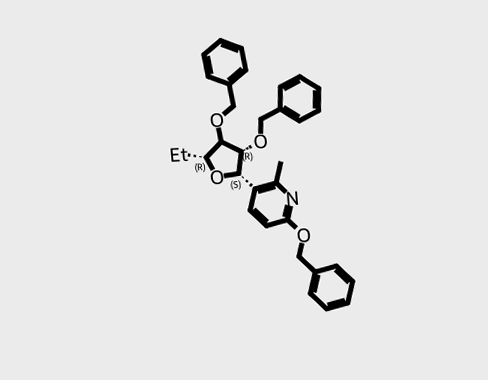 CC[C@H]1O[C@@H](c2ccc(OCc3ccccc3)nc2C)[C@@H](OCc2ccccc2)C1OCc1ccccc1